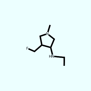 CCNC1CN(C)CC1CF